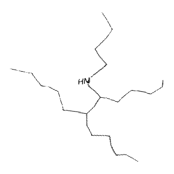 CCCCCC(CCCC)C(CCCC)NCCCC